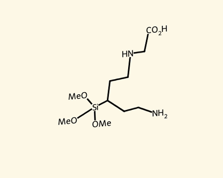 CO[Si](OC)(OC)C(CCN)CCNCC(=O)O